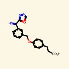 N=C(c1cccc(COc2ccc(CCC(=O)O)cc2)c1)c1nnco1